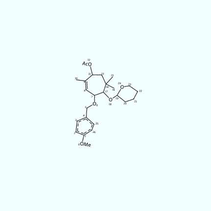 COc1ccc(COC2C=C(C)C(OC(C)=O)CC(C)(C)C2OC2CCCCO2)cc1